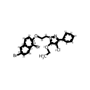 CCOc1c(Cl)c(-c2ccccc2)nn1CCOc1ccc2cc(Br)ccc2c1Br